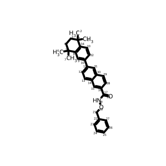 CC1(C)CCC(C)(C)c2cc(-c3ccc4cc(C(=O)NOCc5ccccc5)ccc4c3)ccc21